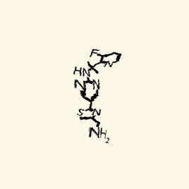 CC(C)(Nc1ncc(-c2nc(CN)cs2)cn1)c1ncccc1F